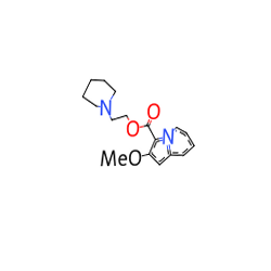 COc1cc2ccccn2c1C(=O)OCCN1CCCCC1